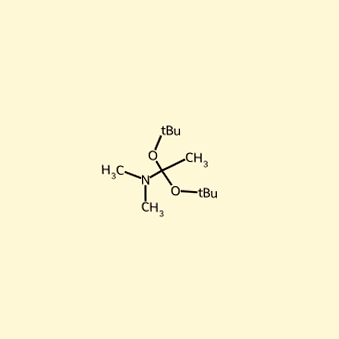 CN(C)C(C)(OC(C)(C)C)OC(C)(C)C